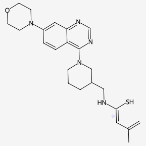 C=C(C)/C=C(\S)NCC1CCCN(c2ncnc3cc(N4CCOCC4)ccc23)C1